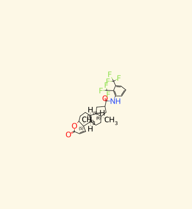 C[C@]12CC[C@@H]3[C@@H](CCC4OC(=O)C=C[C@@]43C)[C@@H]1CC(C(=O)Nc1cccc(C(F)(F)F)c1C(F)(F)F)C2